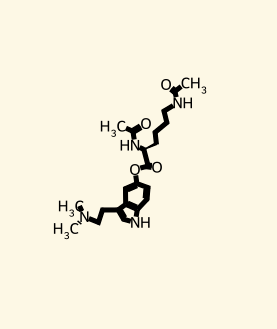 CC(=O)NCCCC[C@H](NC(C)=O)C(=O)Oc1ccc2[nH]cc(CCN(C)C)c2c1